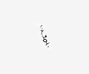 CNC(=O)Cn1cc(-c2nc([C@@](C)(c3ccc(-c4cnc(N)nc4C)cc3)C3CC3)no2)cn1